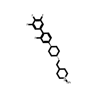 CCC[SiH]1CCC(CC[C@H]2CC[C@H](c3ccc(-c4cc(F)c(F)c(F)c4)c(F)c3)CC2)CC1